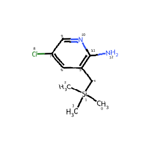 C[Si](C)(C)Cc1cc(Cl)cnc1N